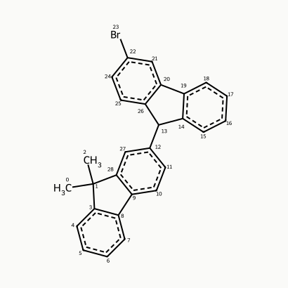 CC1(C)c2ccccc2-c2ccc(C3c4ccccc4-c4cc(Br)ccc43)cc21